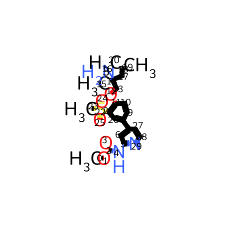 COC(=O)Nc1cc(-c2ccc(OCC(C)(N)CC(C)C)c(S(C)(=O)=O)c2)ccn1